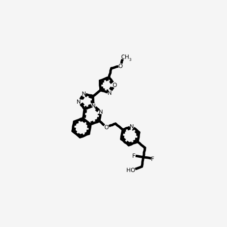 COCc1cc(-c2nnc3c4ccccc4c(OCc4ccc(CC(F)(F)CO)cn4)nn23)no1